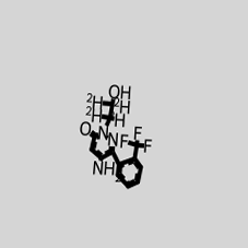 [2H]C([2H])(O)C([2H])([2H])n1nc(-c2ccccc2C(F)(F)F)c(N)cc1=O